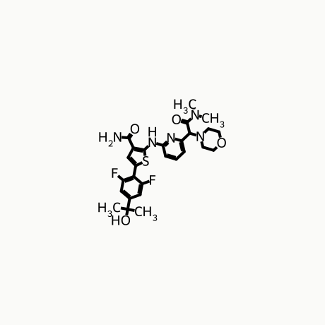 CN(C)C(=O)C(c1cccc(Nc2sc(-c3c(F)cc(C(C)(C)O)cc3F)cc2C(N)=O)n1)N1CCOCC1